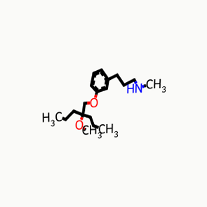 CCCC(CCC)(COc1cccc(CCCNC)c1)OC